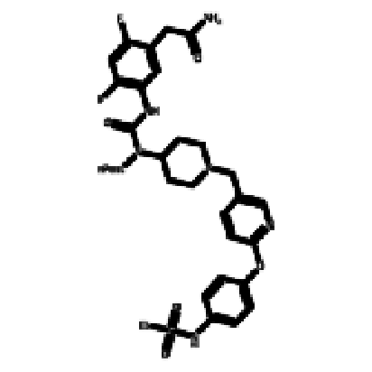 CCCCCN(C(=O)Nc1cc(CC(N)=O)c(F)cc1F)C1CCN(Cc2ccc(Oc3ccc(NS(=O)(=O)CC)cc3)nc2)CC1